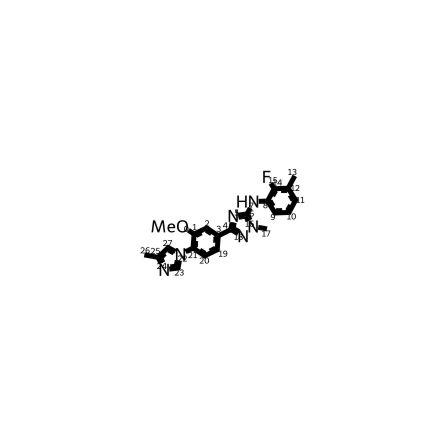 COc1cc(-c2nc(Nc3cccc(C)c3F)n(C)n2)ccc1-n1cnc(C)c1